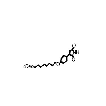 CCCCCCCCCCCCCCCCCCOc1ccc(C2=CC(=O)NC2=O)cc1